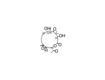 CC(=O)[C@@H]1C[C@@H]2O[C@]2(C)CCC[C@H](C)[C@H](O)[C@@H](C)C(=O)C(C)(C)[C@@H](O)CC(=O)O1